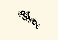 CCOc1ccc2c(c1-c1ncnc3c(C(=O)NC4CCN(C(=O)CC)CC4)c[nH]c13)OCO2